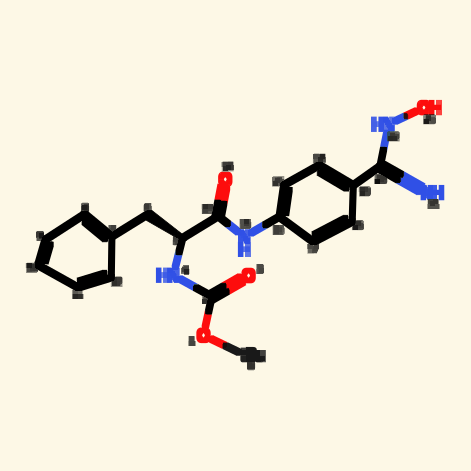 CC(C)(C)OC(=O)N[C@@H](Cc1ccccc1)C(=O)Nc1ccc(C(=N)NO)cc1